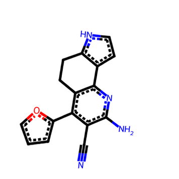 N#Cc1c(N)nc2c(c1-c1ccco1)CCc1[nH]ccc1-2